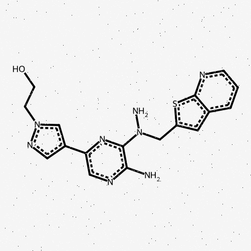 Nc1ncc(-c2cnn(CCO)c2)nc1N(N)Cc1cc2cccnc2s1